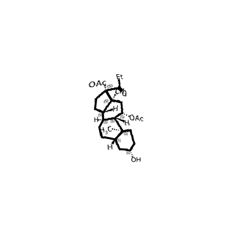 CCC(=O)[C@]1(OC(C)=O)CC[C@H]2[C@@H]3CC[C@H]4C[C@@H](O)CC[C@]4(C)[C@H]3[C@@H](OC(C)=O)C[C@@]21C